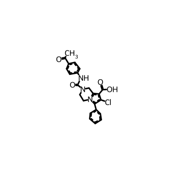 CC(=O)c1ccc(NC(=O)N2CCn3c(c(C(=O)O)c(Cl)c3-c3ccccc3)C2)cc1